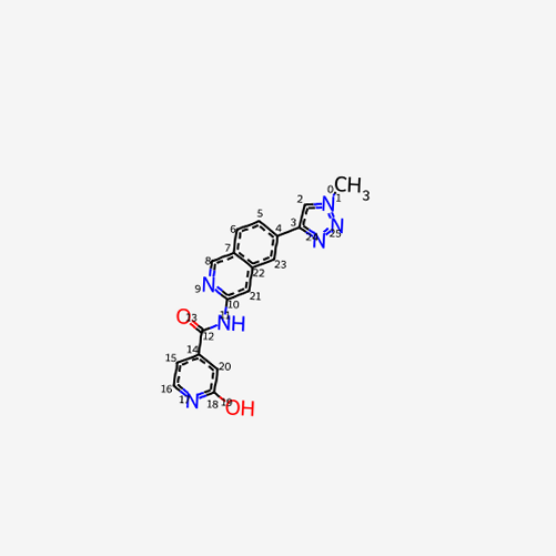 Cn1cc(-c2ccc3cnc(NC(=O)c4ccnc(O)c4)cc3c2)nn1